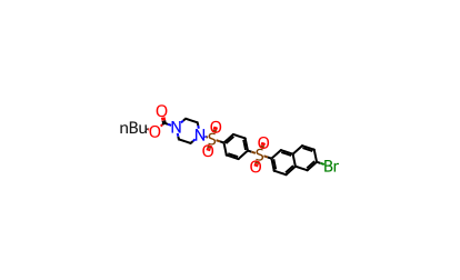 CCCCOC(=O)N1CCN(S(=O)(=O)c2ccc(S(=O)(=O)c3ccc4cc(Br)ccc4c3)cc2)CC1